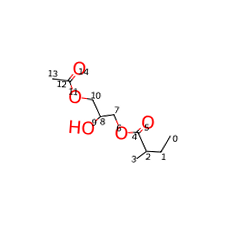 CCC(C)C(=O)OCC(O)COC(C)=O